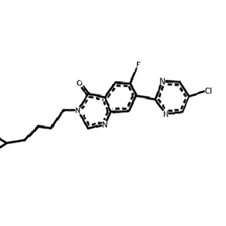 O=c1c2cc(F)c(-c3ncc(Cl)cn3)cc2ncn1CCCCC1CC1